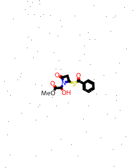 COC(=O)C(O)N1C(=O)CC1SC(=O)c1ccccc1